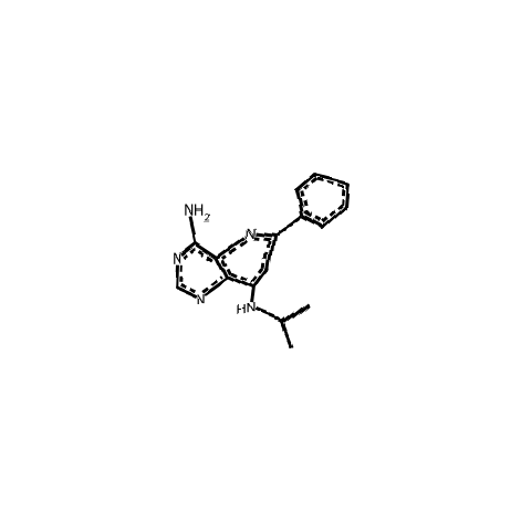 CC(C)Nc1cc(-c2ccccc2)nc2c(N)ncnc12